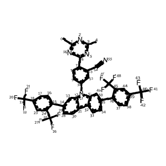 Cc1nc(C)nc(-c2ccc(-n3c4cc(-c5ccc(C(F)(F)F)cc5C(F)(F)F)ccc4c4ccc(-c5ccc(C(F)(F)F)cc5C(F)(F)F)cc43)cc2C#N)n1